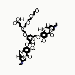 C/C=C1\C[C@H]2CNc3cc(OCC4C=C(OCCN(CCOCCOCCOC)CCC(=O)O)C=C(COc5cc6c(cc5OC)C(=O)N5C/C(=C/C)C[C@H]5C=N6)N4)c(OC)cc3C(=O)N2C1